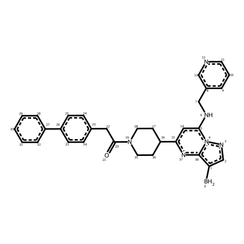 Bc1cnn2c(NCc3cccnc3)cc(C3CCN(C(=O)Cc4ccc(-c5ccccc5)cc4)CC3)nc12